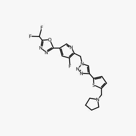 Fc1cc(-c2nnc(C(F)F)o2)cnc1Cn1cc(-c2ccc(CN3CCCC3)s2)nn1